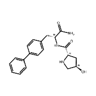 NC(=O)[C@@H](Cc1ccc(-c2ccccc2)cc1)NC(=O)[C@@H]1C[C@@H](O)CN1